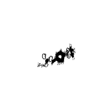 CC(C)OC(=O)OCc1ccc(B2OC(C)(C)C(C)(C)O2)cc1